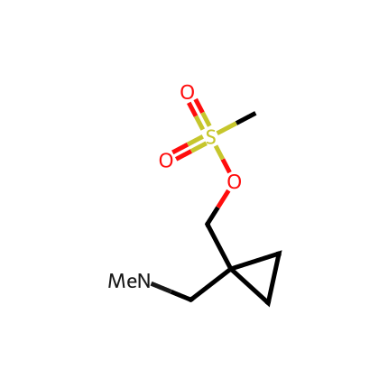 CNCC1(COS(C)(=O)=O)CC1